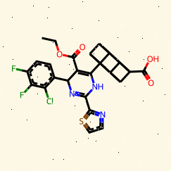 CCOC(=O)C1=C(C23C4C5C2C2C3C4C52C(=O)O)NC(c2nccs2)=NC1c1ccc(F)c(F)c1Cl